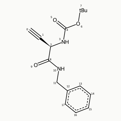 C#C[C@@H](NC(=O)OC(C)(C)C)C(=O)NCc1ccccc1